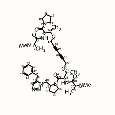 CN[C@@H](C)C(=O)N[C@H](C(=O)N1CCCC1)[C@@H](C)OCC#CC#CCO[C@H](C)[C@H](NC(=O)[C@H](C)NC)C(=O)N1CCCC1Cn1nnnc1Sc1ccccc1